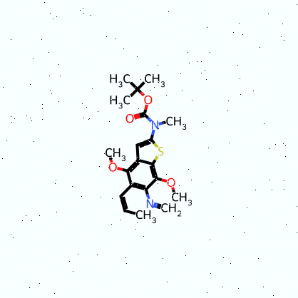 C=Nc1c(/C=C\C)c(OC)c2cc(N(C)C(=O)OC(C)(C)C)sc2c1OC